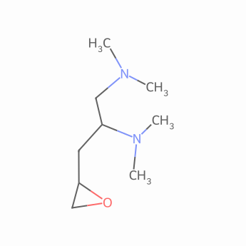 CN(C)CC(CC1CO1)N(C)C